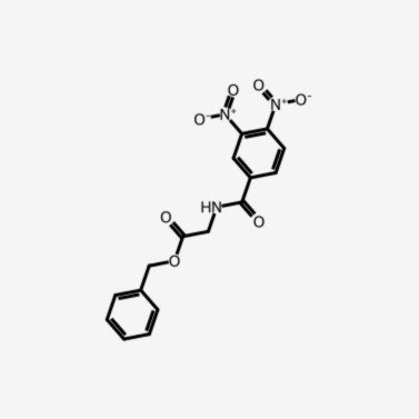 O=C(CNC(=O)c1ccc([N+](=O)[O-])c([N+](=O)[O-])c1)OCc1ccccc1